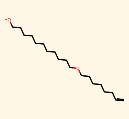 C=CCCCCCCOCCCCCCCCCCCO